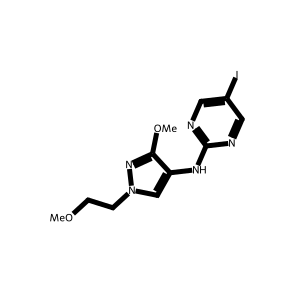 COCCn1cc(Nc2ncc(I)cn2)c(OC)n1